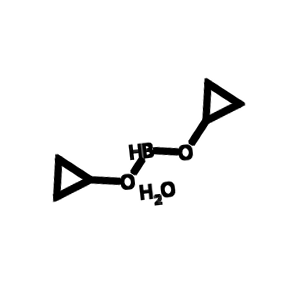 B(OC1CC1)OC1CC1.O